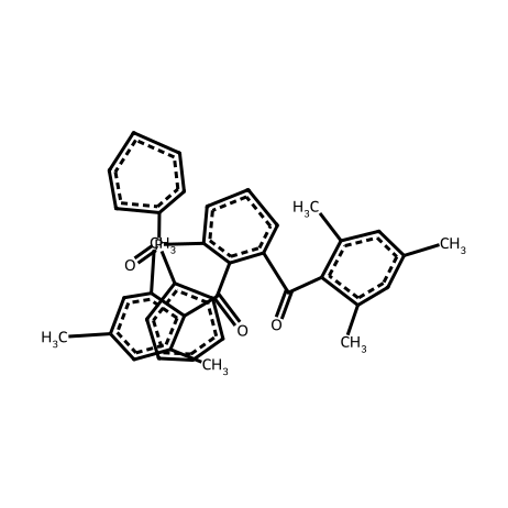 Cc1cc(C)c(C(=O)c2cccc(P(=O)(c3ccccc3)c3ccccc3)c2C(=O)c2c(C)cc(C)cc2C)c(C)c1